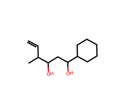 C=CC(C)C(O)CC(O)C1CCCCC1